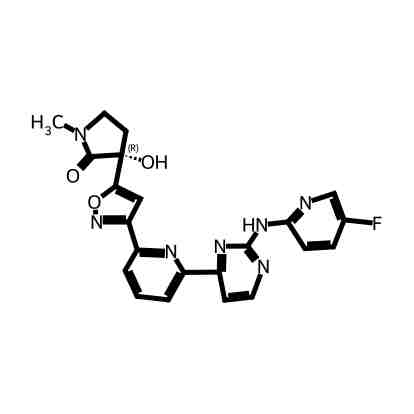 CN1CC[C@@](O)(c2cc(-c3cccc(-c4ccnc(Nc5ccc(F)cn5)n4)n3)no2)C1=O